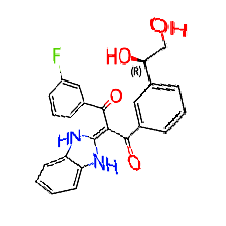 O=C(C(C(=O)c1cccc([C@@H](O)CO)c1)=C1Nc2ccccc2N1)c1cccc(F)c1